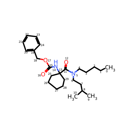 CCCCCN(CCC(C)C)C(=O)C1(NC(=O)OCc2ccccc2)CCCCC1